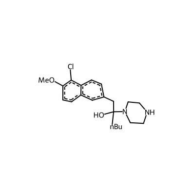 CCCCC(O)(Cc1ccc2c(Cl)c(OC)ccc2c1)N1CCNCC1